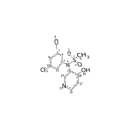 CS(=O)(=O)N(c1cc(Cl)cc(Cl)c1)c1cnccc1O